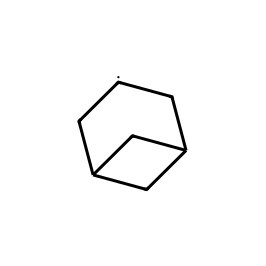 [CH]1CC2CC(C1)C2